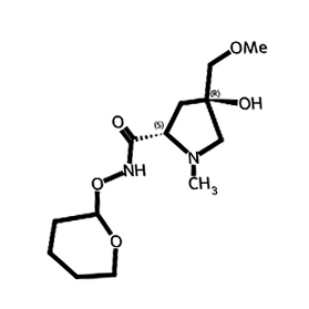 COC[C@@]1(O)C[C@@H](C(=O)NOC2CCCCO2)N(C)C1